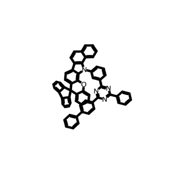 c1ccc(-c2ccc(-c3nc(-c4ccccc4)nc(-c4cccc(-n5c6c7c(ccc6c6ccc8ccccc8c65)C5(c6ccccc6O7)c6ccccc6-c6ccccc65)c4)n3)cc2)cc1